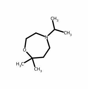 CC(C)N1CCOC(C)(C)CC1